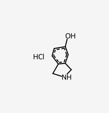 Cl.Oc1ccc2c(c1)CNC2